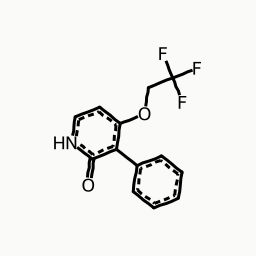 O=c1[nH]ccc(OCC(F)(F)F)c1-c1ccccc1